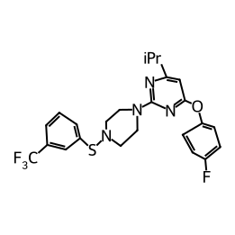 CC(C)c1cc(Oc2ccc(F)cc2)nc(N2CCN(Sc3cccc(C(F)(F)F)c3)CC2)n1